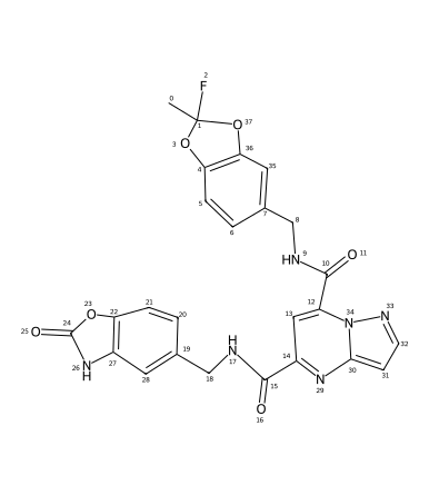 CC1(F)Oc2ccc(CNC(=O)c3cc(C(=O)NCc4ccc5oc(=O)[nH]c5c4)nc4ccnn34)cc2O1